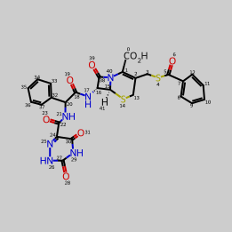 O=C(O)C1=C(CSC(=O)c2ccccc2)CS[C@H]2[C@H](NC(=O)C(NC(=O)c3n[nH]c(=O)[nH]c3=O)c3ccccc3)C(=O)N12